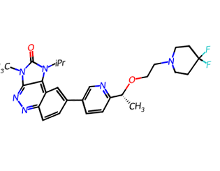 CC(C)n1c(=O)n(C)c2nnc3ccc(-c4ccc([C@@H](C)OCCN5CCC(F)(F)CC5)nc4)cc3c21